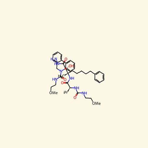 COCCNC(=O)N[C@H](C(=O)N[C@@](C)(CCCCCc1ccccc1)[C@](O)(C(=O)NN)N(Cc1ccccc1-c1ccccc1)C(=O)NCCOC)C(C)C